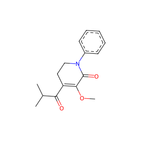 COC1=C(C(=O)C(C)C)CCN(c2ccccc2)C1=O